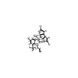 C=CCOc1c(C(C)(C)C)cc(C)cc1[Si](CC)(CC)C1c2sc(C)cc2-c2cc(C)sc21